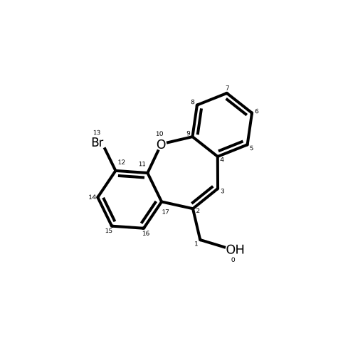 OCC1=Cc2ccccc2Oc2c(Br)cccc21